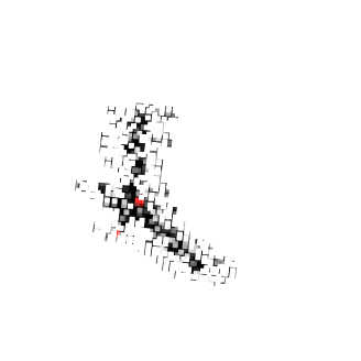 COc1c(C)c(OC(=O)c2c(C)c(C)c(OC(=O)c3c(C)cc(OC(=O)c4c(C)c(-c5cc(CC(N)C(=O)O)ccc5Oc5ccc(CC(N)C(=O)O)cc5-c5c(C)c(C(=O)Oc6cc(C)c(C(=O)Oc7c(C)c(C)c(C(=O)Oc8c(C)c(C)c(C(=O)O)c(OC)c8C)c(OC)c7C)c(O)c6C)c(OC)c(C)c5OC)c(OC)c(C)c4OC)c(C)c3O)c(C)c2OC)c(C)c(C)c1C(=O)O